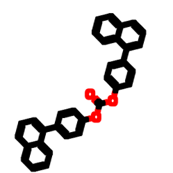 O=C(Oc1ccc(-c2cccc3ccccc23)cc1)Oc1ccc(-c2cccc3ccccc23)cc1